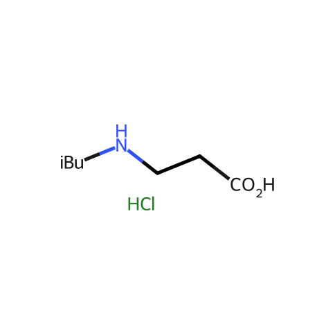 CCC(C)NCCC(=O)O.Cl